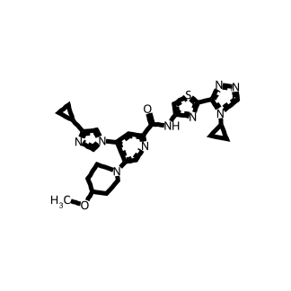 COC1CCN(c2cnc(C(=O)Nc3csc(-c4nncn4C4CC4)n3)cc2-n2cnc(C3CC3)c2)CC1